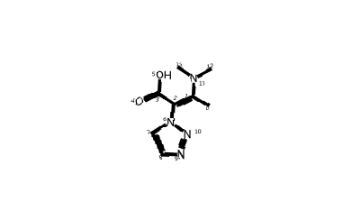 C/C(=C(/C(=O)O)n1ccnn1)N(C)C